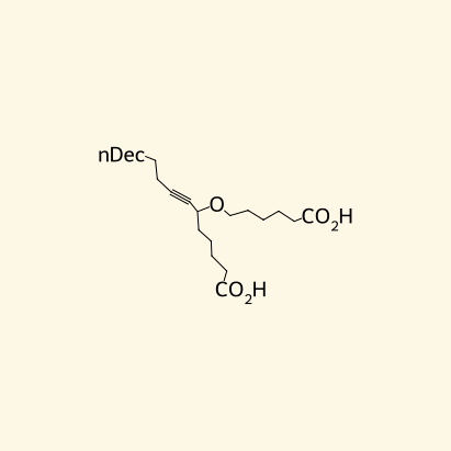 CCCCCCCCCCCCC#CC(CCCCC(=O)O)OCCCCCC(=O)O